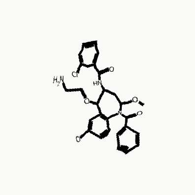 COC1CC(NC(=O)c2ccccc2Cl)C(OCCN)c2cc(Cl)ccc2N1C(=O)c1ccccc1